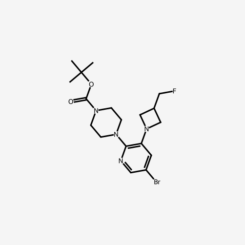 CC(C)(C)OC(=O)N1CCN(c2ncc(Br)cc2N2CC(CF)C2)CC1